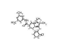 Cc1cc(C)nc(NC(=O)c2ccc3c(c2)c(C)c(C)n3Cc2ccccc2Cl)c1